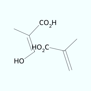 C=C(C)C(=O)O.CC(=CO)C(=O)O